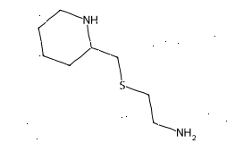 NCCSCC1C[CH]CCN1